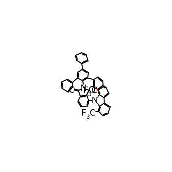 O=C1c2cccc(-n3c4c(C(F)(F)F)cccc4c4cccc(C(F)(F)F)c43)c2C(=O)N1c1c(-c2ccccc2)cc(-c2ccccc2)cc1-c1ccccc1